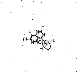 O=C(O)N1[C@@H]2CC[C@H]1CN(c1nc(F)nc3c(F)c(Cl)ncc13)C2